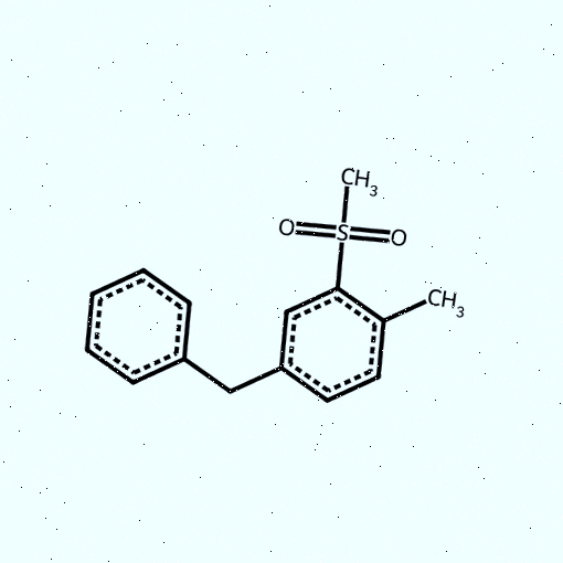 Cc1ccc(Cc2ccccc2)cc1S(C)(=O)=O